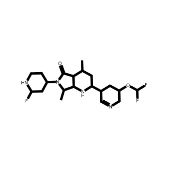 CC1CC(C2C=NCC(OC(F)F)C2)NC2C1C(=O)N(C1CCNC(F)C1)C2C